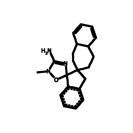 CN1OC2(N=C1N)c1ccccc1CC21CCC2C=CC=CC2CC1